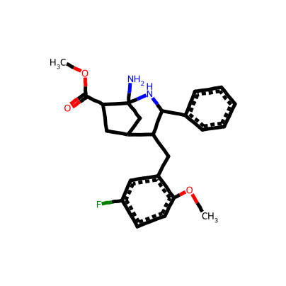 COC(=O)C1CC2CC1(N)NC(c1ccccc1)C2Cc1cc(F)ccc1OC